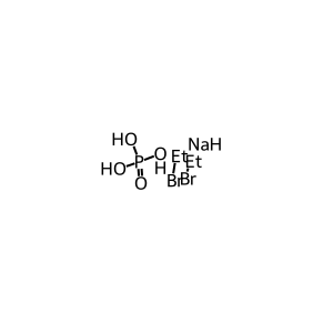 CCBr.CCBr.O=P(O)(O)O.[NaH]